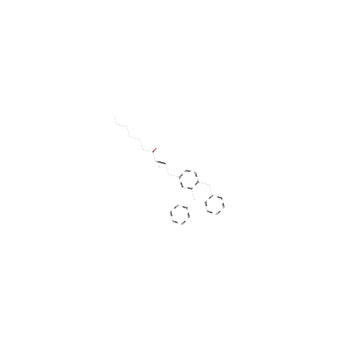 CCCCCCC(=O)/C=C/Cc1ccc(Cc2ccccc2)c(Cc2ccccc2)c1